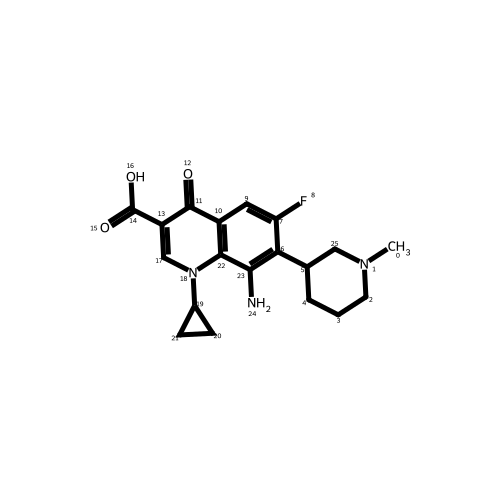 CN1CCCC(c2c(F)cc3c(=O)c(C(=O)O)cn(C4CC4)c3c2N)C1